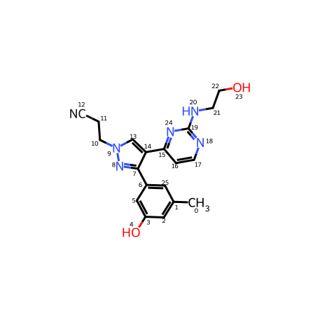 Cc1cc(O)cc(-c2nn(CCC#N)cc2-c2ccnc(NCCO)n2)c1